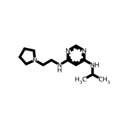 CC(C)Nc1cc(NCCN2CCCC2)ncn1